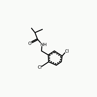 CC(C)C(=O)NCc1cc(Cl)ccc1Cl